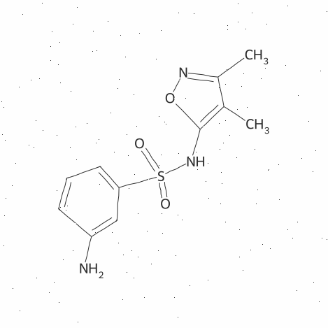 Cc1noc(NS(=O)(=O)c2cccc(N)c2)c1C